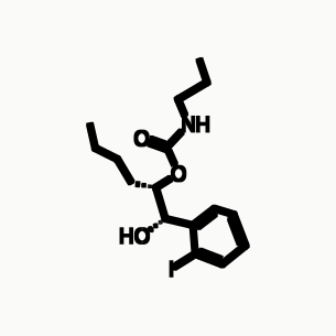 CCCC[C@H](OC(=O)NCCC)[C@@H](O)c1ccccc1I